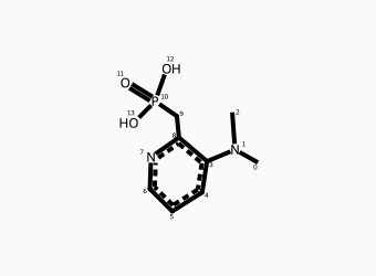 CN(C)c1cccnc1CP(=O)(O)O